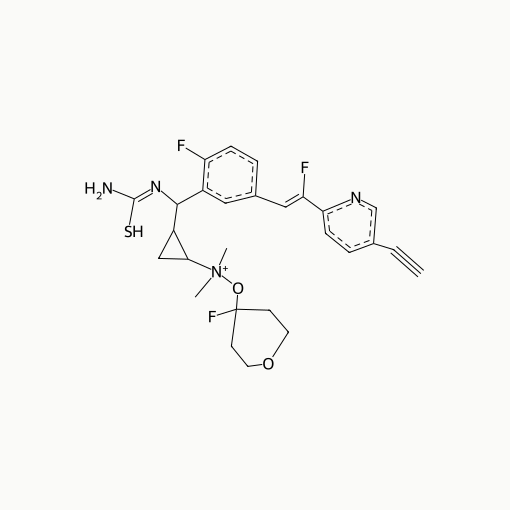 C#Cc1ccc(/C(F)=C/c2ccc(F)c(C(/N=C(/N)S)C3CC3[N+](C)(C)OC3(F)CCOCC3)c2)nc1